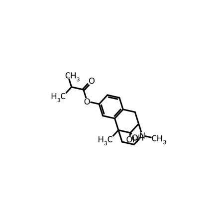 CC(C)C(=O)Oc1ccc2c(c1)C1(C)CCN(C)C(C2)C1(O)O